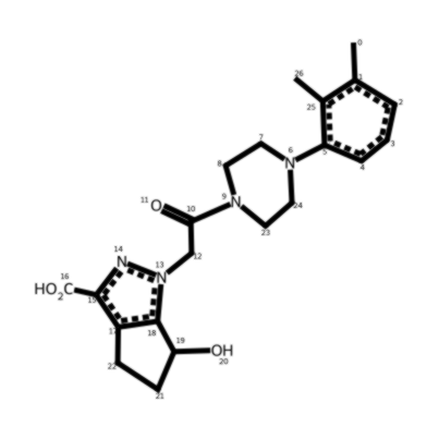 Cc1cccc(N2CCN(C(=O)Cn3nc(C(=O)O)c4c3C(O)CC4)CC2)c1C